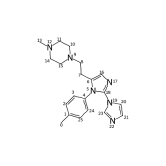 Cc1ccc(-n2c(CCN3CCN(C)CC3)cnc2-n2ccnc2)cc1